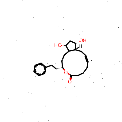 O=C1CCC/C=C\C[C@@H]2C(CC[C@@H](CCc3ccccc3)O1)[C@H](O)C[C@@H]2O